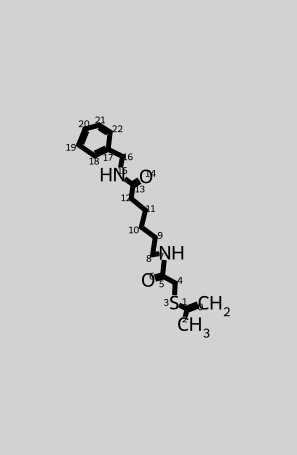 C=C(C)SCC(=O)NCCCCCC(=O)NCc1ccccc1